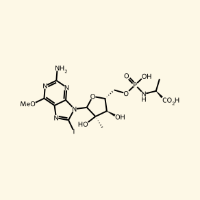 COc1nc(N)nc2c1nc(I)n2C1O[C@H](COP(=O)(O)N[C@@H](C)C(=O)O)[C@@H](O)[C@@]1(C)O